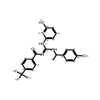 CC(N/C(=N/C(=O)c1ccc(C(F)(F)F)cc1)Nc1cccc(O)n1)c1ccc(Cl)cc1